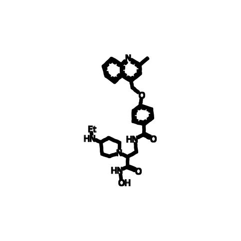 CCNC1CCN(C(CNC(=O)c2ccc(OCc3cc(C)nc4ccccc34)cc2)C(=O)NO)CC1